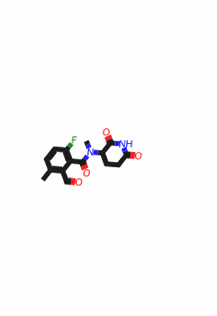 Cc1ccc(F)c(C(=O)N(C)C2CCC(=O)NC2=O)c1C=O